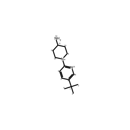 CC(C)(C)c1ccc(N2CCC(N)CC2)nc1